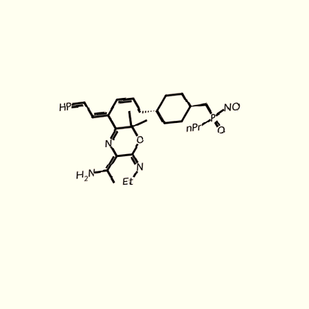 CCCP(=O)(C[C@H]1CC[C@H](C/C=C\C(=C/C=P)C2=NC(=C(/C)N)/C(=N\CC)OC2(C)C)CC1)N=O